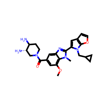 COc1cc(C(=O)N2CCC(N)[C@@H](N)C2)cc2nc(-c3cc4ccoc4n3CC3CC3)n(C)c12